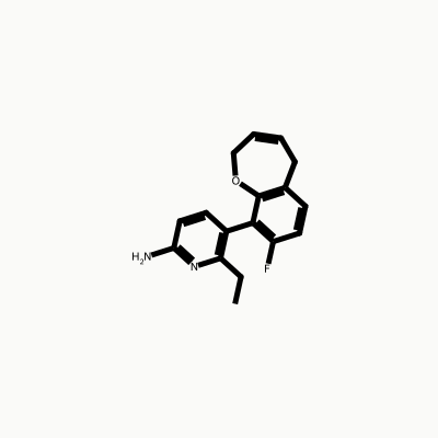 CCc1nc(N)ccc1-c1c(F)ccc2c1OCC=CC2